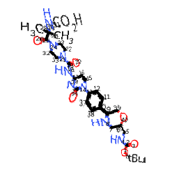 CC(C)(C)OC(=O)NC[C@H]1CNC(c2ccc(-n3ccc(NC(=O)N4CCN(C(=O)C(C)(C)NC(=O)O)CC4)nc3=O)cc2)CO1